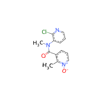 Cc1c(C(=O)N(C)c2cccnc2Cl)ccc[n+]1[O-]